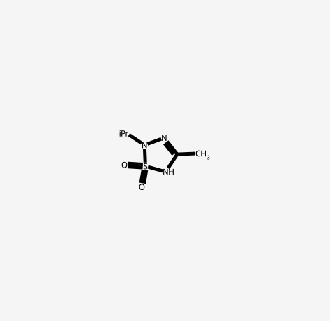 CC1=NN(C(C)C)S(=O)(=O)N1